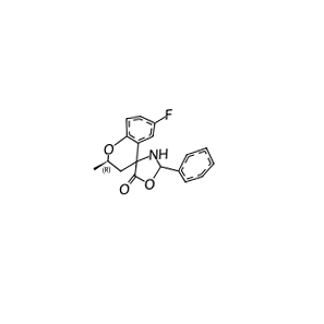 C[C@@H]1CC2(NC(c3ccccc3)OC2=O)c2cc(F)ccc2O1